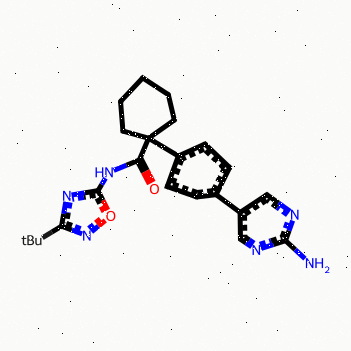 CC(C)(C)c1noc(NC(=O)C2(c3ccc(-c4cnc(N)nc4)cc3)CCCCC2)n1